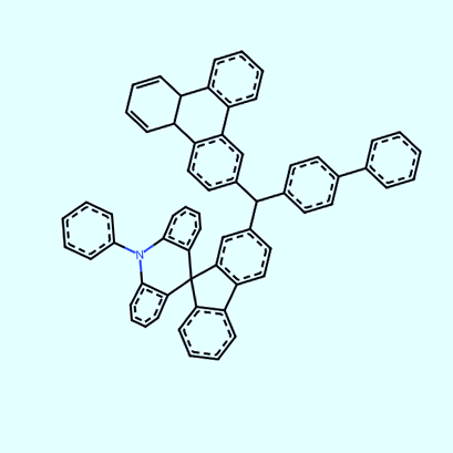 C1=CC2c3ccccc3-c3cc(C(c4ccc(-c5ccccc5)cc4)c4ccc5c(c4)C4(c6ccccc6-5)c5ccccc5N(c5ccccc5)c5ccccc54)ccc3C2C=C1